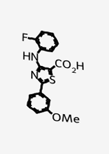 COc1cccc(-c2nc(Nc3ccccc3F)c(C(=O)O)s2)c1